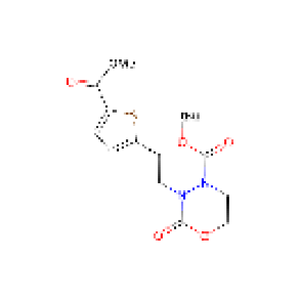 COC(=O)c1ccc(CCN2C(=O)OCCN2C(=O)OC(C)(C)C)s1